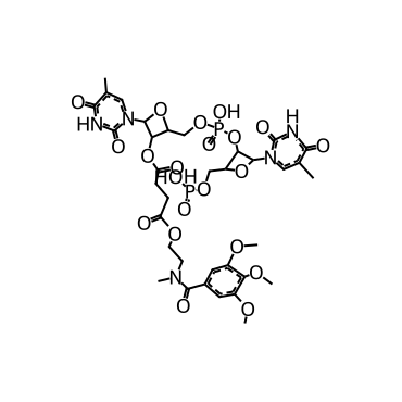 COc1cc(C(=O)N(C)CCOC(=O)CCC(=O)OC2C(COP(=O)(O)OC3C(CO[PH](=O)O)OC3n3cc(C)c(=O)[nH]c3=O)OC2n2cc(C)c(=O)[nH]c2=O)cc(OC)c1OC